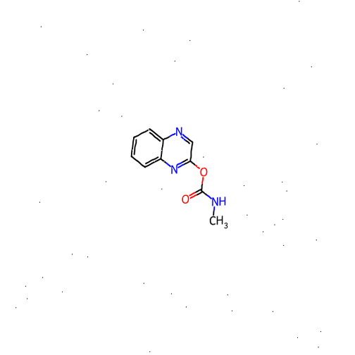 CNC(=O)Oc1cnc2ccccc2n1